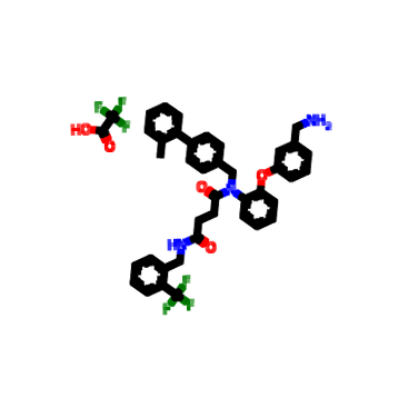 Cc1ccccc1-c1ccc(CN(C(=O)CCC(=O)NCc2ccccc2C(F)(F)F)c2ccccc2Oc2cccc(CN)c2)cc1.O=C(O)C(F)(F)F